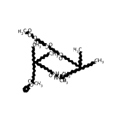 C=CC(=O)OCCOC(=O)CCCCCOC(=O)CCCCCOC(=O)CCCCCCCCC(CCCCCCCC)C(CCCCCCCC)CCCCCCCCC(=O)C(C)(CC)NCCNC(=O)CCCCCCCCC(CCCCCCCC)C(CCCCCCCC)CCCCCCCCC(=O)C(C)OCc1ccccc1